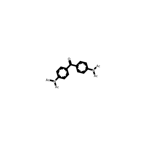 CC(=O)N(C(C)=O)c1ccc(C(=O)c2ccc(N(C(C)=O)C(C)=O)cc2)cc1